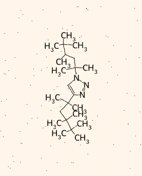 CC(CC(C)(C)n1cc(C(C)(C)CC(C)(C)C(C)(C)C)nn1)C(C)(C)C